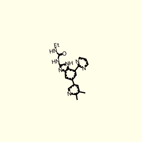 CCNC(=O)Nc1nc2cc(-c3cnc(C)c(C)c3)cc(-c3ncccn3)c2[nH]1